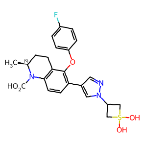 C[C@H]1CCc2c(ccc(-c3cnn(C4CS(O)(O)C4)c3)c2Oc2ccc(F)cc2)N1C(=O)O